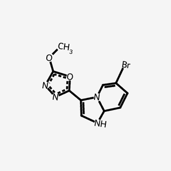 COc1nnc(C2=CNC3C=CC(Br)=CN23)o1